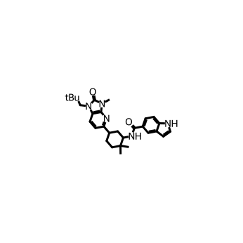 Cn1c(=O)n(CC(C)(C)C)c2ccc(C3CCC(C)(C)C(NC(=O)c4ccc5[nH]ccc5c4)C3)nc21